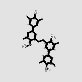 CC1=CC(=C2C=C(C)/C(=N\O)C(CCc3cc(-c4cc(C)c(N)c(C)c4)cc(C)c3N)=C2)C=C(C)C1=N